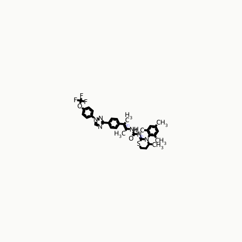 C/C(NC(=O)/N=C1\SCCC(C)N1c1c(C)cc(C)cc1C)=C(/C)c1ccc(-c2ncn(-c3ccc(OC(F)(F)F)cc3)n2)cc1